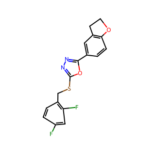 Fc1ccc(CSc2nnc(-c3ccc4c(c3)CCO4)o2)c(F)c1